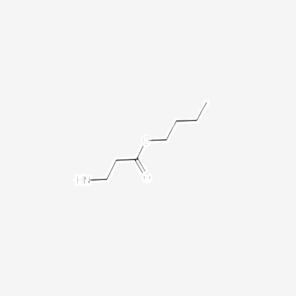 CCCCOC(=O)CC[NH]